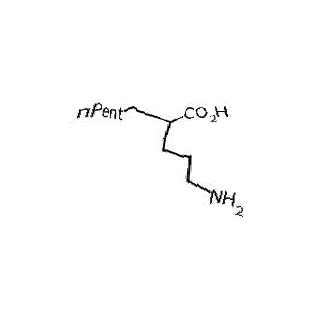 CCCCCCC(CCCN)C(=O)O